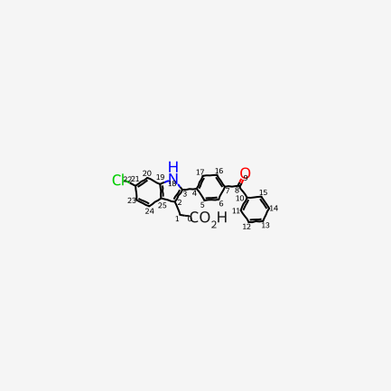 O=C(O)Cc1c(-c2ccc(C(=O)c3ccccc3)cc2)[nH]c2cc(Cl)ccc12